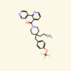 CCCC1(Cc2ccc(OC(F)(F)F)cc2)CCN(C(=O)c2cccnc2-c2ccncc2)CC1